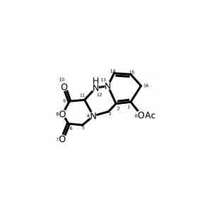 CC(=O)OC1=C2CN3CC(=O)OC(=O)C3NN2C=CC1